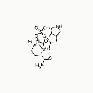 NC(=O)[C@@H]1CC[C@@H]2C[N+]1(OC1CC3CNCC3C1)C(=O)N2OS(=O)(=O)O